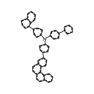 c1ccc(-c2ccc(N(c3ccc(-c4ccc5c(ccc6ccc7ccccc7c65)c4)cc3)c3ccc(-c4cccc5ccccc45)cc3)cc2)cc1